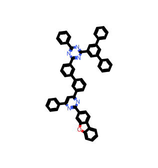 c1ccc(-c2cc(-c3ccccc3)cc(-c3nc(-c4ccccc4)nc(-c4cccc(-c5cccc(-c6cc(-c7ccccc7)nc(-c7ccc8c(c7)oc7ccccc78)n6)c5)c4)n3)c2)cc1